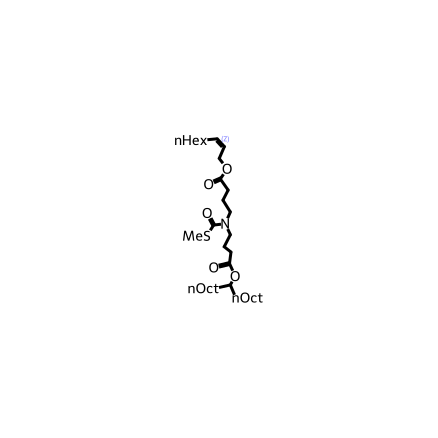 CCCCCC/C=C\COC(=O)CCCN(CCCC(=O)OC(CCCCCCCC)CCCCCCCC)C(=O)SC